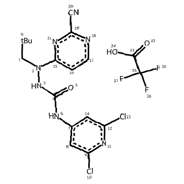 CC(C)(C)CN(NC(=O)Nc1cc(Cl)nc(Cl)c1)c1ccnc(C#N)n1.O=C(O)C(F)(F)F